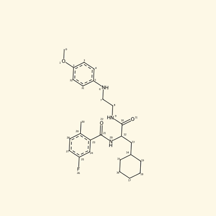 COc1ccc(NCCNC(=O)C(CC2CCCCC2)NC(=O)c2cc(F)ccc2C)cc1